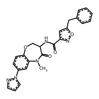 CN1C(=O)C(NC(=O)c2cc(Cc3ccccc3)on2)COc2ccc(-n3cccn3)cc21